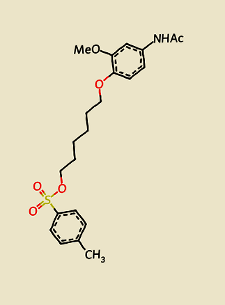 COc1cc(NC(C)=O)ccc1OCCCCCCOS(=O)(=O)c1ccc(C)cc1